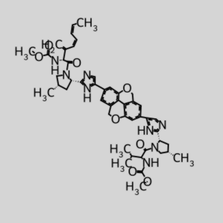 C=C(/C=C\C=C/C)[C@@H](NC(=O)OC)C(=O)N1C[C@@H](C)C[C@H]1c1ncc(-c2cc3c4c(c2)OCc2cc(-c5cnc([C@@H]6C[C@H](C)CN6C(=O)[C@@H](NC(=O)OC)C(C)C)[nH]5)cc(c2-4)OC3)[nH]1